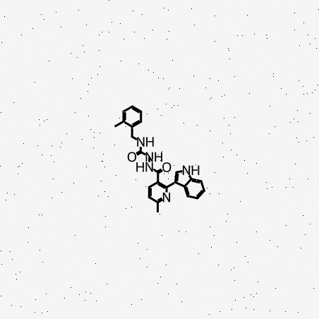 Cc1ccc(C(=O)NNC(=O)NCc2ccccc2C)c(-c2c[nH]c3ccccc23)n1